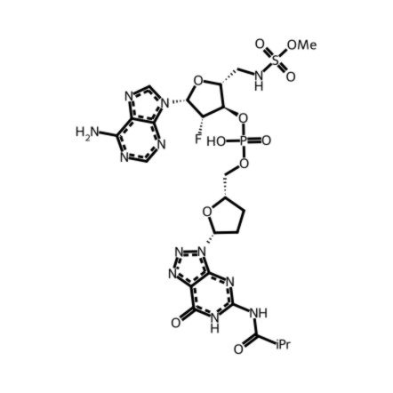 COS(=O)(=O)NC[C@H]1O[C@@H](n2cnc3c(N)ncnc32)[C@@H](F)[C@@H]1OP(=O)(O)OC[C@@H]1CC[C@H](n2nnc3c(=O)[nH]c(NC(=O)C(C)C)nc32)O1